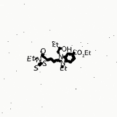 CCOC(=O)c1ccc2c(c1)N(CC(O)CC)/C(=C\C=C1/SC(=S)N(CC)C1=O)N2CC